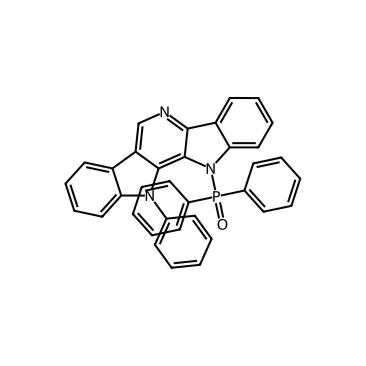 O=P(c1ccccc1)(c1ccccc1)n1c2ccccc2c2ncc3c4ccccc4n(-c4ccccc4)c3c21